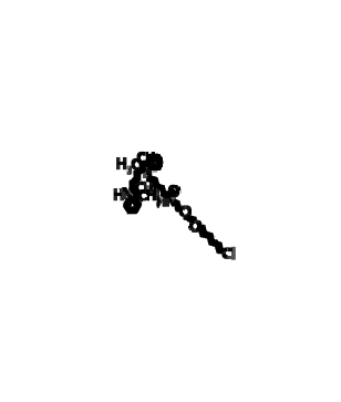 CC1(C)C(/C=C/C=C2/Nc3ccccc3C2(C)C)=[N+](CCCCCC(=O)NCCOCCOCCCCCCCl)c2ccccc21